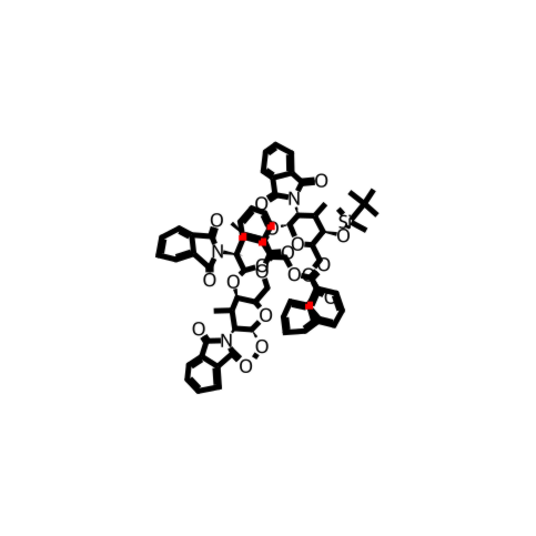 CO[C@H]1OC(COC(=O)c2ccccc2)[C@H](OC2OC(COC(=O)c3ccccc3)C(O[C@H]3OC(COC(=O)c4ccccc4)[C@H](O[Si](C)(C)C(C)(C)C)C(C)[C@H]3N3C(=O)c4ccccc4C3=O)[C@H](C)[C@@H]2N2C(=O)c3ccccc3C2=O)C(C)[C@H]1N1C(=O)c2ccccc2C1=O